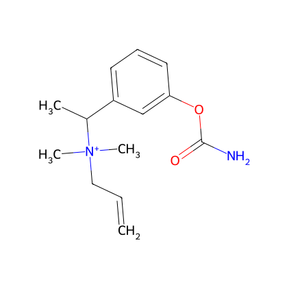 C=CC[N+](C)(C)C(C)c1cccc(OC(N)=O)c1